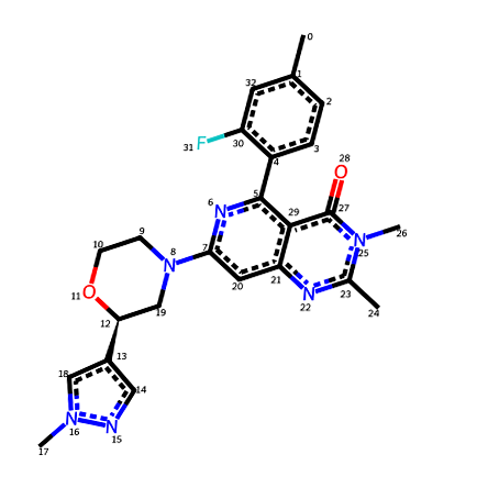 Cc1ccc(-c2nc(N3CCO[C@H](c4cnn(C)c4)C3)cc3nc(C)n(C)c(=O)c23)c(F)c1